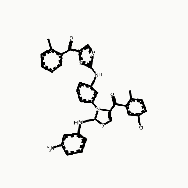 Cc1ccc(Cl)cc1C(=O)C1=CSC(Nc2cccc(N)c2)N1c1cccc(Nc2ncc(C(=O)c3ccccc3C)s2)c1